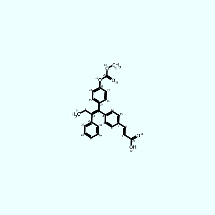 CCC(=C(c1ccc(C=CC(=O)O)cc1)c1ccc(OC(=O)OC)cc1)c1ccccc1